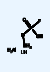 O=P(O)(F)O[SiH3].[AlH3].[LiH]